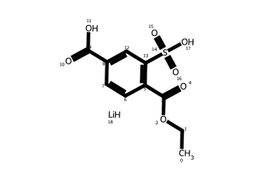 CCOC(=O)c1ccc(C(=O)O)cc1S(=O)(=O)O.[LiH]